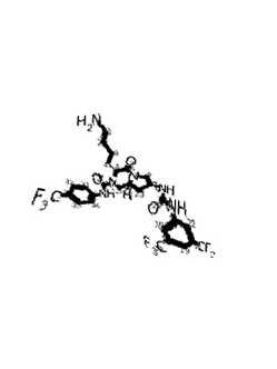 NCCCC[C@@H]1C(=O)N2C[C@@H](NC(=O)Nc3cc(C(F)(F)F)cc(C(F)(F)F)c3)C[C@H]2CN1C(=O)Nc1ccc(C(F)(F)F)cc1